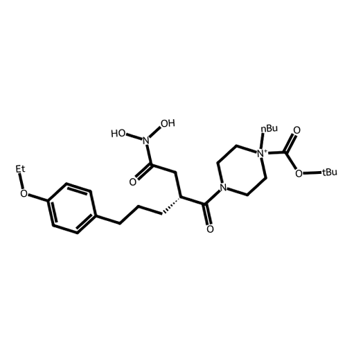 CCCC[N+]1(C(=O)OC(C)(C)C)CCN(C(=O)[C@H](CCCc2ccc(OCC)cc2)CC(=O)N(O)O)CC1